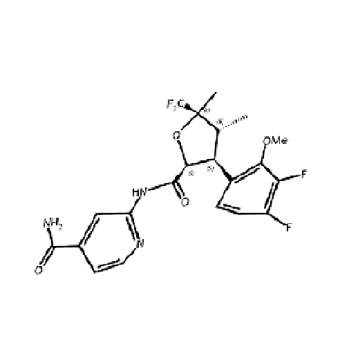 COc1c([C@H]2[C@@H](C(=O)Nc3cc(C(N)=O)ccn3)O[C@@](C)(C(F)(F)F)[C@@H]2C)ccc(F)c1F